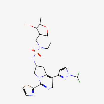 CCN(CC1COC(C)C1O)S(=O)(=O)NC1CC2=C(c3ccn(C(F)F)n3)CN=C(c3nccs3)N2C1